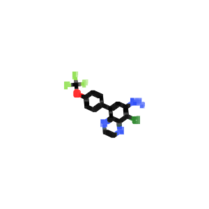 Nc1cc(-c2ccc(OC(F)(F)F)cc2)c2nccnc2c1Cl